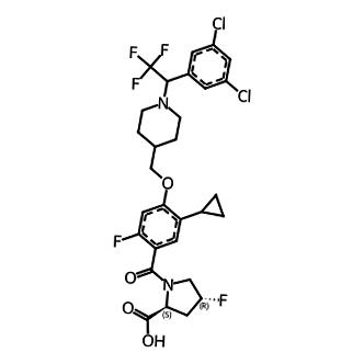 O=C(O)[C@@H]1C[C@@H](F)CN1C(=O)c1cc(C2CC2)c(OCC2CCN(C(c3cc(Cl)cc(Cl)c3)C(F)(F)F)CC2)cc1F